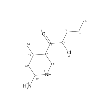 CCCC(Cl)C(=O)C1CNC(N)CC1C